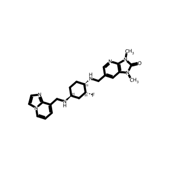 Cn1c(=O)n(C)c2ncc(CN[C@H]3CC[C@H](NCc4cccn5ccnc45)C[C@H]3F)cc21